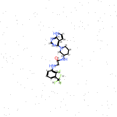 O=C(CNc1cccc(C(F)(F)F)c1F)NC1CCCN(c2ncnc3[nH]ccc23)C1